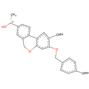 COc1ccc(COc2cc3c(cc2OC)-c2ccc([C@@H](C)O)cc2CO3)cc1